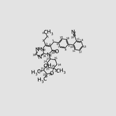 CCCc1c(Cc2ccc(-c3ccccc3C#N)cc2)c(=O)n(C2CCC(C)(OC(C)C(C)O)CC2)c2ncnn12